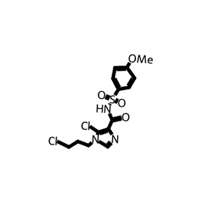 COc1ccc(S(=O)(=O)NC(=O)c2ncn(CCCCl)c2Cl)cc1